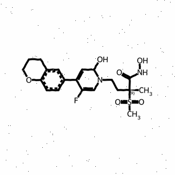 C[C@@](CCN1C=C(F)C(c2ccc3c(c2)CCCO3)=CC1O)(C(=O)NO)S(C)(=O)=O